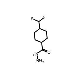 NNC(=O)C1CCC(C(F)F)CC1